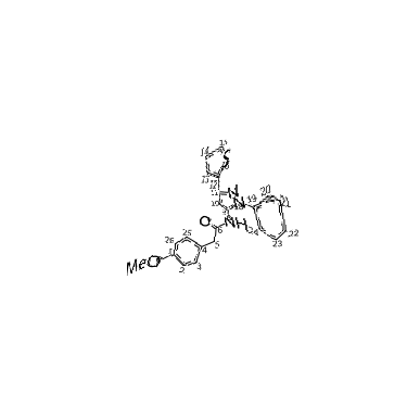 COc1ccc(CC(=O)Nc2cc(-c3cccs3)nn2-c2ccccc2)cc1